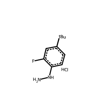 CC(C)(C)c1ccc(NN)c(F)c1.Cl